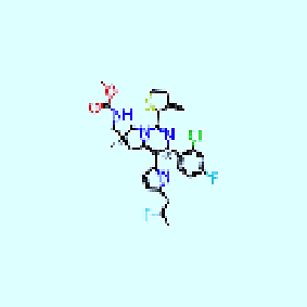 C=C1C=CSC1C1=N[C@@H](c2ccc(F)cc2Cl)C(C2=NC(CC(C)F)C=C2)=C2C[C@@](C)(CNC(=O)OC)CN12